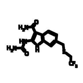 NC(=O)Nc1[nH]c2cc(CSCC(F)(F)F)ccc2c1C(N)=O